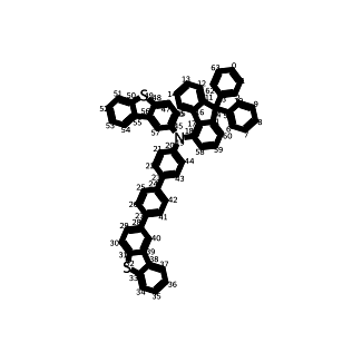 c1ccc(C2(c3ccccc3)c3ccccc3-c3c(N(c4ccc(-c5ccc(-c6ccc7sc8ccccc8c7c6)cc5)cc4)c4ccc5sc6ccccc6c5c4)cccc32)cc1